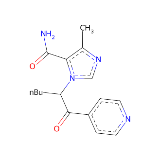 CCCCC(C(=O)c1ccncc1)n1cnc(C)c1C(N)=O